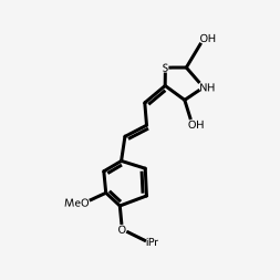 COc1cc(C=CC=C2SC(O)NC2O)ccc1OC(C)C